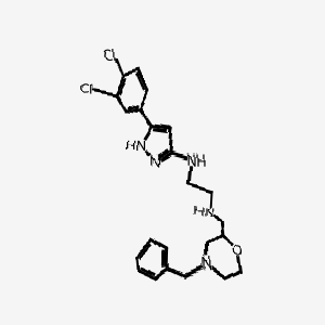 Clc1ccc(-c2cc(NCCNCC3CN(Cc4ccccc4)CCO3)n[nH]2)cc1Cl